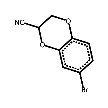 N#CC1COc2ccc(Br)cc2O1